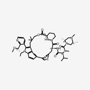 CCn1c(-c2cccnc2[C@H](C)OC)c2c3cc(ccc31)-c1csc(n1)C[C@H](NC(=O)[C@H](C(C)C)N(C)C(=O)N1C[C@@H](C)N(C)C[C@H]1C)C(=O)N1CCC[C@@](O)(N1)C(=O)OCC(C)(C)C2